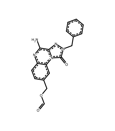 Nc1nc2ccc(COC=O)cc2n2c(=O)n(Cc3ccccc3)nc12